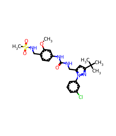 COc1cc(NC(=O)NCc2cc(C(C)(C)C)nn2-c2cccc(Cl)c2)ccc1CNS(C)(=O)=O